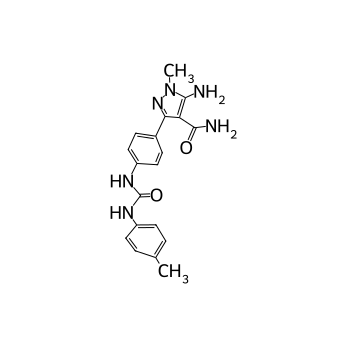 Cc1ccc(NC(=O)Nc2ccc(-c3nn(C)c(N)c3C(N)=O)cc2)cc1